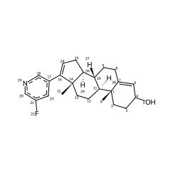 C[C@]12CCC(O)C=C1CC[C@@H]1[C@@H]2CC[C@]2(C)C(c3cncc(F)c3)=CC[C@@H]12